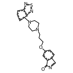 O=C1N=Cc2ccc(OCCCN3CCN(c4cccc5nsnc45)CC3)cc21